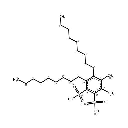 CCCCCCCCCc1c(C)c(C)c(S(=O)(=O)O)c(S(=O)(=O)O)c1CCCCCCCCC